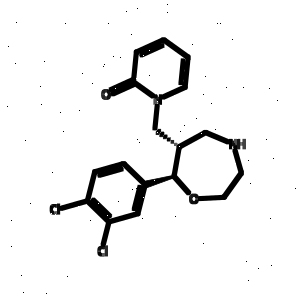 O=c1ccccn1C[C@@H]1CNCCO[C@H]1c1ccc(Cl)c(Cl)c1